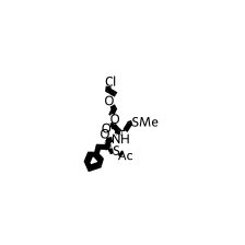 CSCC[C@H](NC(=O)[C@@H](CSC(C)=O)Cc1ccccc1)C(=O)OCCOCCCl